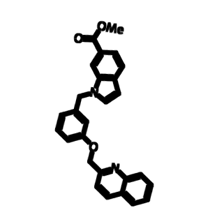 COC(=O)c1ccc2ccn(Cc3cccc(OCc4ccc5ccccc5n4)c3)c2c1